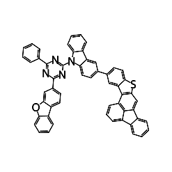 c1ccc(-c2nc(-c3ccc4c(c3)oc3ccccc34)nc(-n3c4ccccc4c4cc(-c5ccc6sc7cc8c9c(cccc9c7c6c5)-c5ccccc5-8)ccc43)n2)cc1